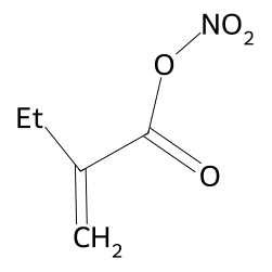 C=C(CC)C(=O)O[N+](=O)[O-]